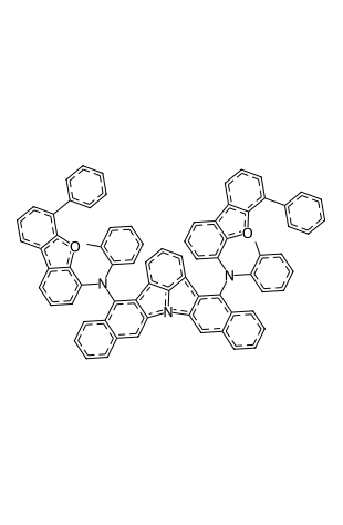 Cc1ccccc1N(c1cccc2c1oc1c(-c3ccccc3)cccc12)c1c2ccccc2cc2c1c1cccc3c4c(N(c5ccccc5C)c5cccc6c5oc5c(-c7ccccc7)cccc56)c5ccccc5cc4n2c13